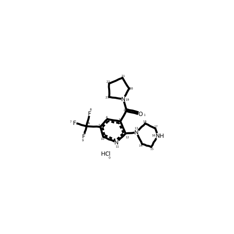 Cl.O=C(c1cc(C(F)(F)F)cnc1N1CCNCC1)N1CCCC1